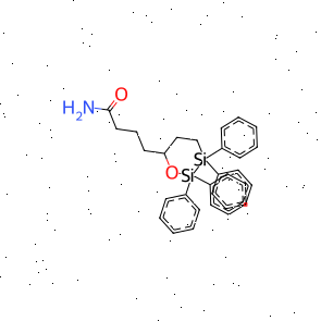 NC(=O)CCCC1CC[Si](c2ccccc2)(c2ccccc2)[Si](c2ccccc2)(c2ccccc2)O1